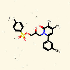 Cc1ccc(S(=O)(=O)OCC(=O)Cn2c(-c3cccc(C)c3)cc(C(F)(F)F)c(C#N)c2=O)cc1